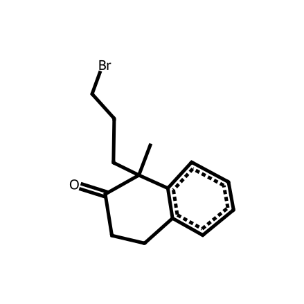 CC1(CCCBr)C(=O)CCc2ccccc21